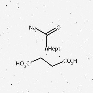 CCCCCCC[C](=O)[Na].O=C(O)CCC(=O)O